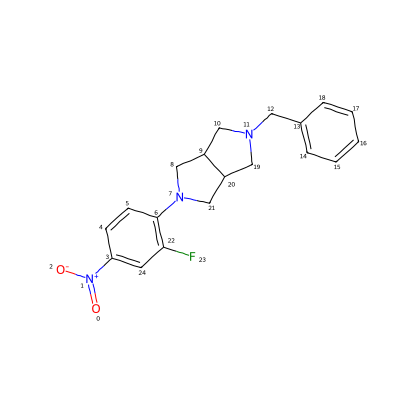 O=[N+]([O-])c1ccc(N2CC3CN(Cc4ccccc4)CC3C2)c(F)c1